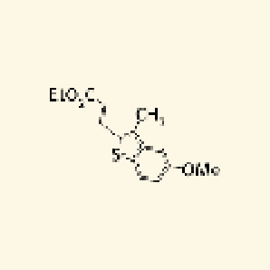 CCOC(=O)C=Cc1sc2ccc(OC)cc2c1C